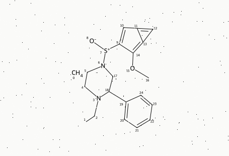 C.CCN1CCN([S+]([O-])c2cc3cc-3c2OC)CC1c1ccccc1